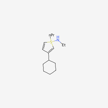 CCCS1(NCC)C=CC(C2CCCCC2)=C1